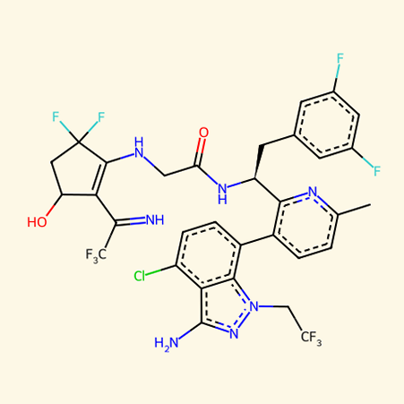 Cc1ccc(-c2ccc(Cl)c3c(N)nn(CC(F)(F)F)c23)c([C@H](Cc2cc(F)cc(F)c2)NC(=O)CNC2=C(C(=N)C(F)(F)F)C(O)CC2(F)F)n1